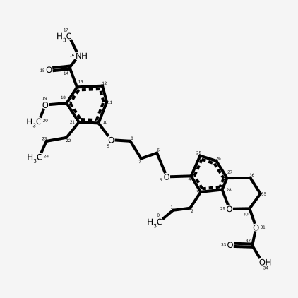 CCCc1c(OCCCOc2ccc(C(=O)NC)c(OC)c2CCC)ccc2c1OC(OC(=O)O)CC2